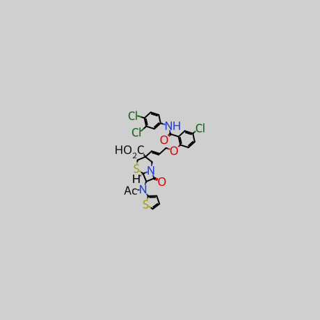 CC(=O)N(c1cccs1)C1C(=O)N2CC(C=CCOc3ccc(Cl)cc3C(=O)Nc3ccc(Cl)c(Cl)c3)(C(=O)O)CS[C@H]12